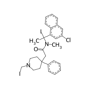 CN(C(=O)CC1(c2ccccc2)CCN(CI)CC1)C(C)(I)c1cc(Cl)cc2ccccc12